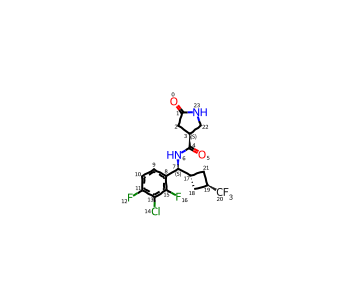 O=C1C[C@H](C(=O)N[C@H](c2ccc(F)c(Cl)c2F)[C@H]2C[C@H](C(F)(F)F)C2)CN1